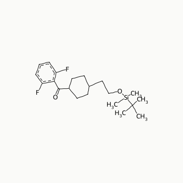 CC(C)(C)[Si](C)(C)OCCC1CCC(C(=O)c2c(F)cccc2F)CC1